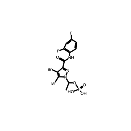 CC(OP(=O)(O)O)n1nc(C(=O)Nc2ccc(F)cc2F)c(Br)c1Br